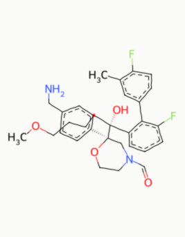 COCCCC[C@@](O)(c1cccc(F)c1-c1ccc(F)c(C)c1)[C@@]1(c2ccc(CN)cc2)CN(C=O)CCO1